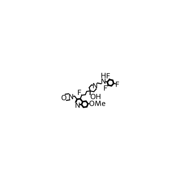 COc1ccc2ncc(CN3CCOCC3)c([C@@H](F)CCC3(CO)CCN(CCNc4c(F)cc(F)cc4F)CC3)c2c1